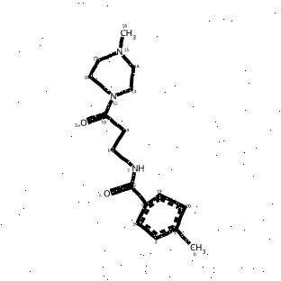 Cc1ccc(C(=O)NCCC(=O)N2CCN(C)CC2)cc1